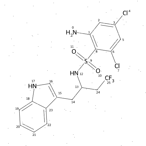 Nc1cc(Cl)cc(Cl)c1S(=O)(=O)NC(Cc1c[nH]c2ccccc12)CC(F)(F)F